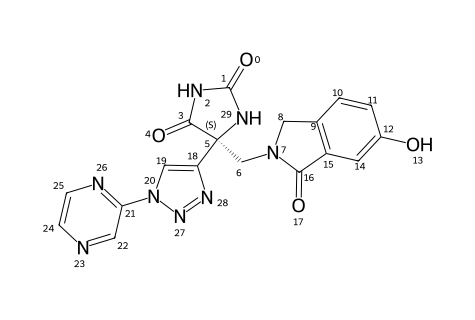 O=C1NC(=O)[C@](CN2Cc3ccc(O)cc3C2=O)(c2cn(-c3cnccn3)nn2)N1